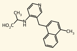 Cc1ccc(Cc2cnccc2NC(C)C(=O)O)c2ccccc12